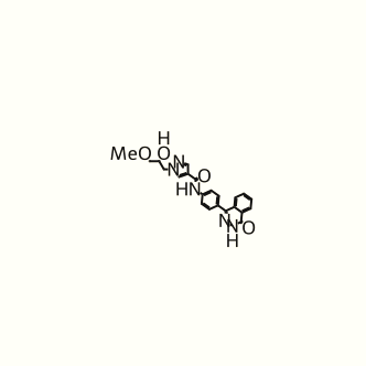 COCC(O)Cn1cc(C(=O)Nc2ccc(-c3n[nH]c(=O)c4ccccc34)cc2)cn1